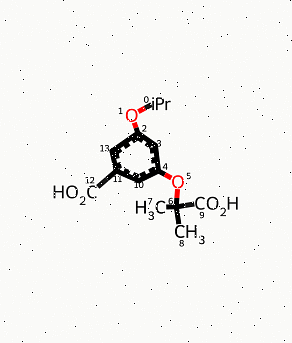 CC(C)Oc1cc(OC(C)(C)C(=O)O)cc(C(=O)O)c1